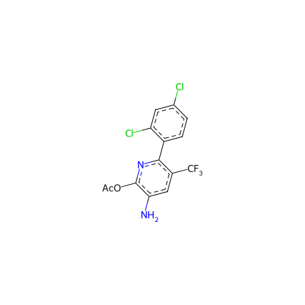 CC(=O)Oc1nc(-c2ccc(Cl)cc2Cl)c(C(F)(F)F)cc1N